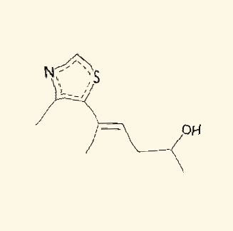 C/C(=C\CC(C)O)c1scnc1C